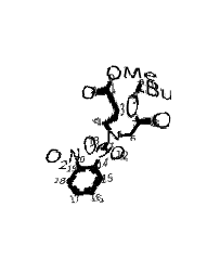 COC(=O)CCN(CC(=O)OC(C)(C)C)S(=O)(=O)c1ccccc1[N+](=O)[O-]